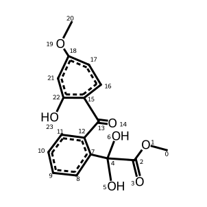 COC(=O)C(O)(O)c1ccccc1C(=O)c1ccc(OC)cc1O